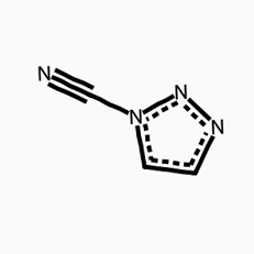 N#Cn1ccnn1